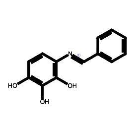 Oc1ccc(/N=C/c2ccccc2)c(O)c1O